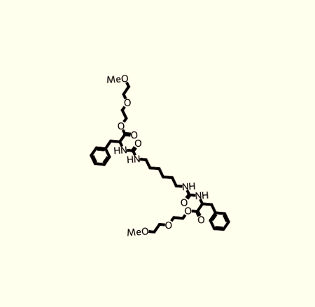 COCCOCCOC(=O)C(Cc1ccccc1)NC(=O)NCCCCCCNC(=O)NC(Cc1ccccc1)C(=O)OCCOCCOC